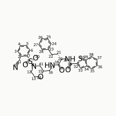 N#Cc1ccccc1S(=O)(=O)N1CCOC(CNC(=O)[C@H](CCc2ccccc2)NC(=O)c2cc3ccccc3s2)C1